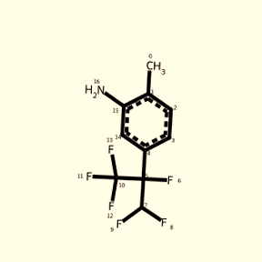 Cc1ccc(C(F)(C(F)F)C(F)(F)F)cc1N